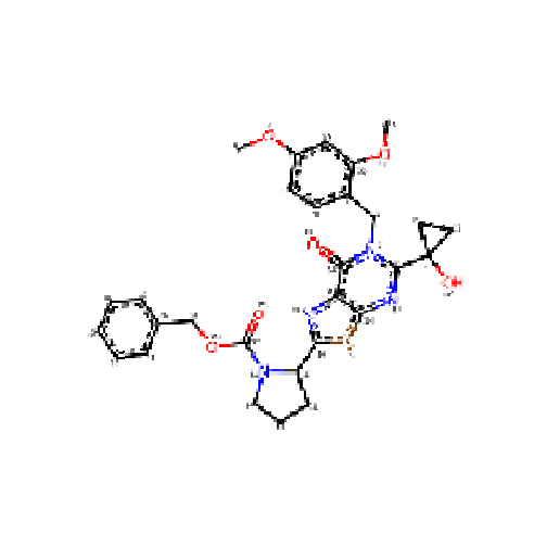 COc1ccc(Cn2c(C3(O)CC3)nc3sc(C4CCCN4C(=O)OCc4ccccc4)nc3c2=O)c(OC)c1